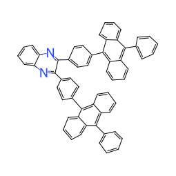 c1ccc(-c2c3ccccc3c(-c3ccc(-c4nc5ccccc5nc4-c4ccc(-c5c6ccccc6c(-c6ccccc6)c6ccccc56)cc4)cc3)c3ccccc23)cc1